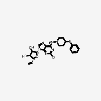 C=C[C@H]1O[C@@H](n2cnc3c(NN4CCC(Sc5ccccc5)CC4)nc(Cl)nc32)C(O)C1O